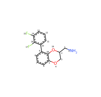 NCC1COc2cccc(-c3cccc(F)c3F)c2O1